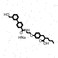 CCCCC(Cc1ccc(OCCNC(=O)c2ccc(-c3cccc(CO)c3)cc2)cc1)C(=O)O.[NaH]